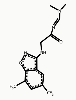 CN(C)C=NC(=O)CNc1noc2c(C(F)(F)F)cc(C(F)(F)F)cc12